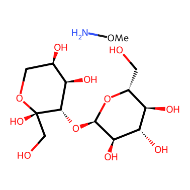 CON.OC[C@H]1O[C@H](O[C@H]2[C@H](O)[C@H](O)CO[C@@]2(O)CO)[C@H](O)[C@@H](O)[C@@H]1O